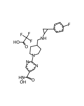 O=C(NO)c1cnc(N2CCC(CNC3CC3c3ccc(F)cc3)CC2)nc1.O=C(O)C(F)(F)F